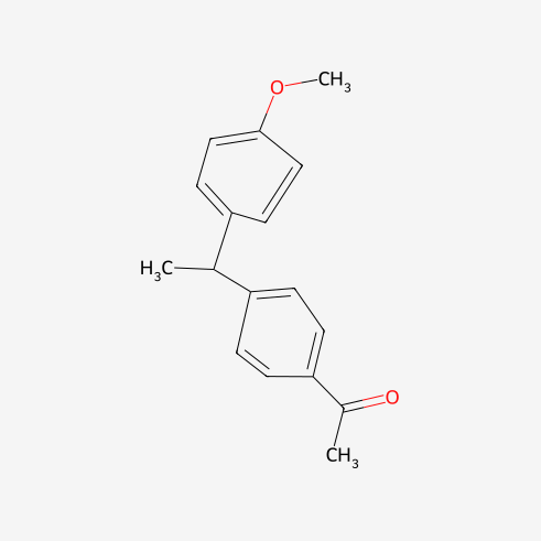 COc1ccc(C(C)c2ccc(C(C)=O)cc2)cc1